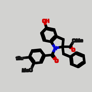 COC(=O)C1(Cc2ccccc2)Cc2cc(O)ccc2N1C(=O)c1ccc(C(C)(C)C)c(OC)c1